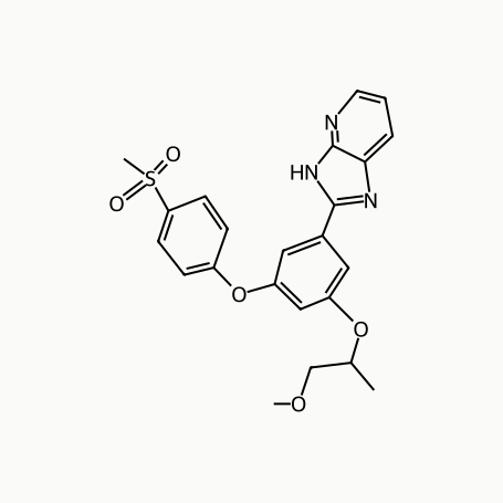 COCC(C)Oc1cc(Oc2ccc(S(C)(=O)=O)cc2)cc(-c2nc3cccnc3[nH]2)c1